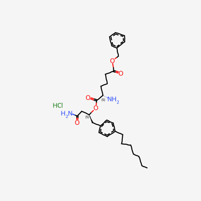 CCCCCCCc1ccc(C[C@@H](CC(N)=O)OC(=O)[C@@H](N)CCCC(=O)OCc2ccccc2)cc1.Cl